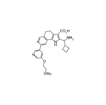 COCCOc1cncc(-c2cc3c(cn2)CCc2c-3[nH]c(C(N)C3CCC3)c2C(=O)O)c1